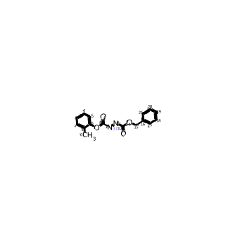 Cc1ccccc1OC(=O)/N=N/C(=O)OCc1ccccc1